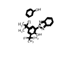 CCC(C)(C)c1cc(-n2nc3ccccc3n2)c(O)c(C(C)(C)CC)c1.Oc1ccccc1